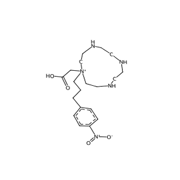 O=C(O)C[N+]1(CCCc2ccc([N+](=O)[O-])cc2)CCNCCNCCNCC1